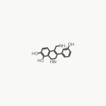 Br.NCC1=C(c2cccc(O)c2)CCc2c1ccc(O)c2O